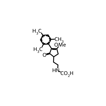 COC1=C(c2c(C)cc(C)cc2C)C(=O)C(CCNC(=O)O)C1